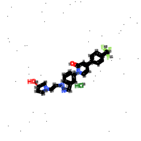 Cl.O=c1cc(-c2ccc(C(F)(F)F)cc2)ccn1-c1ccc2c(cnn2CCN2CC[C@H](O)C2)c1